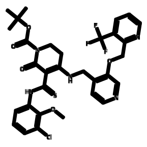 COc1c(Cl)cccc1NC(=S)C1=C(NCc2ccncc2OCc2ncccc2C(F)(F)F)CCN(C(=O)OC(C)(C)C)C1=O